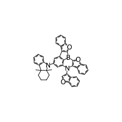 CC12CCCCC1(C)N(c1cc3c4c(c1)N(c1coc5ccccc15)c1c(oc5ccccc15)B4c1oc4ccccc4c1-3)c1ccccc12